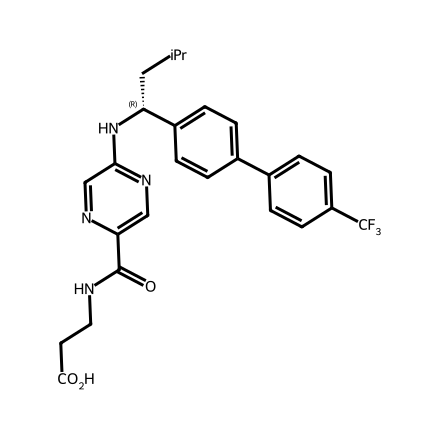 CC(C)C[C@@H](Nc1cnc(C(=O)NCCC(=O)O)cn1)c1ccc(-c2ccc(C(F)(F)F)cc2)cc1